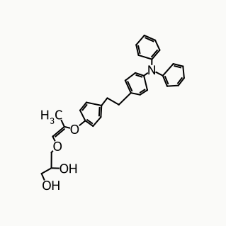 C/C(=C/OCC(O)CO)Oc1ccc(CCc2ccc(N(c3ccccc3)c3ccccc3)cc2)cc1